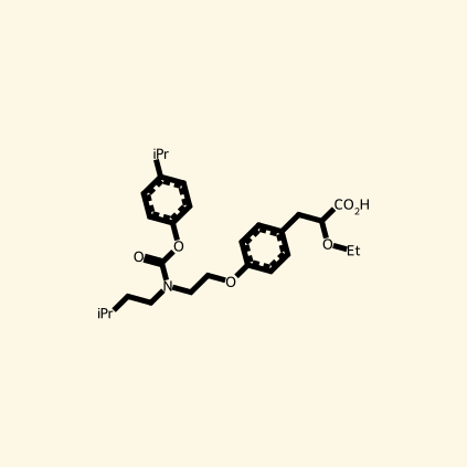 CCOC(Cc1ccc(OCCN(CCC(C)C)C(=O)Oc2ccc(C(C)C)cc2)cc1)C(=O)O